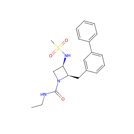 CCNC(=O)N1C[C@@H](NS(C)(=O)=O)[C@H]1Cc1cccc(-c2ccccc2)c1